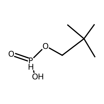 CC(C)(C)CO[PH](=O)O